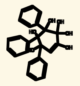 OC1=CC(O)(c2ccccc2)C(O)(c2ccccc2)C(O)(c2ccccc2)C1(O)O